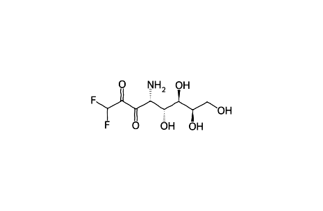 N[C@@H](C(=O)C(=O)C(F)F)[C@@H](O)[C@@H](O)[C@H](O)CO